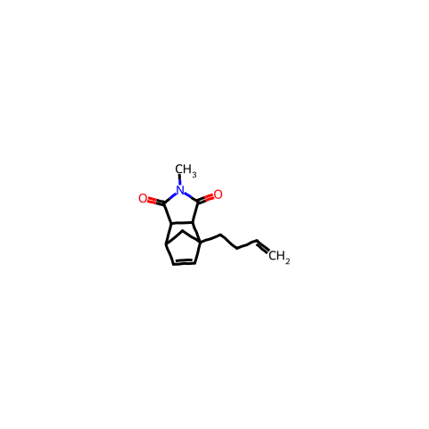 C=CCCC12C=CC(C1)C1C(=O)N(C)C(=O)C12